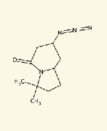 CC1(C)CCC2CC(N=[N+]=[N-])CC(=O)N21